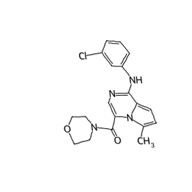 Cc1ccc2c(Nc3cccc(Cl)c3)ncc(C(=O)N3CCOCC3)n12